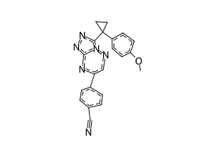 COc1ccc(C2(c3nnc4nc(-c5ccc(C#N)cc5)cnn34)CC2)cc1